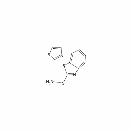 NSc1nc2ccccc2s1.c1cscn1